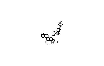 C[C@]12CCC3c4cccc(F)c4CCC3C1[C@H](CCC(=O)Nc1ccc(N3CCOCC3)cn1)c1c[nH]nc12